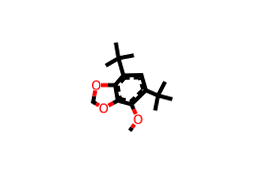 COc1c(C(C)(C)C)cc(C(C)(C)C)c2c1OCO2